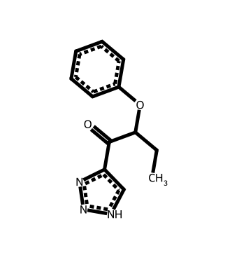 CCC(Oc1ccccc1)C(=O)c1c[nH]nn1